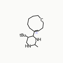 CC1NCC(C(C)(C)C)C(/C2=C/CCCCCCCC2)N1